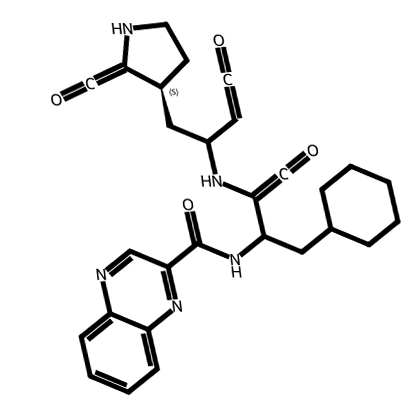 O=C=CC(C[C@@H]1CCNC1=C=O)NC(=C=O)C(CC1CCCCC1)NC(=O)c1cnc2ccccc2n1